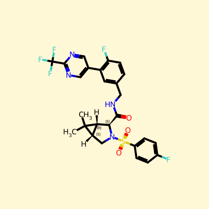 CC1(C)[C@@H]2[C@@H](C(=O)NCc3ccc(F)c(-c4cnc(C(F)(F)F)nc4)c3)N(S(=O)(=O)c3ccc(F)cc3)C[C@@H]21